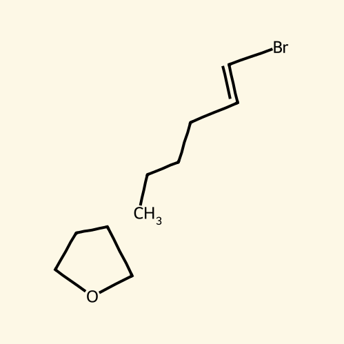 C1CCOC1.CCCCC=CBr